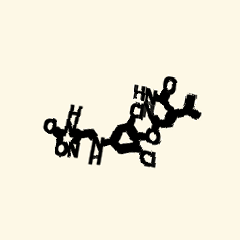 CC(C)c1cc(Oc2c(Cl)cc(NCc3noc(=O)[nH]3)cc2Cl)n[nH]c1=O